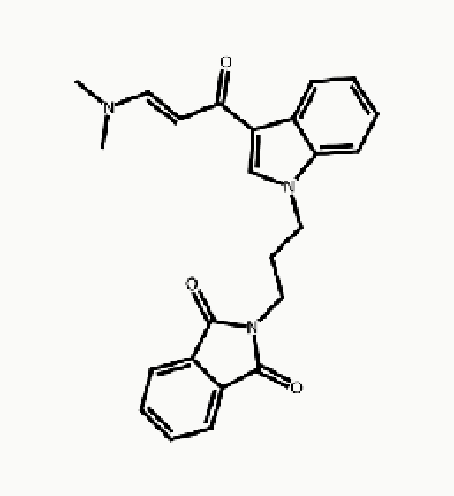 CN(C)C=CC(=O)c1cn(CCCN2C(=O)c3ccccc3C2=O)c2ccccc12